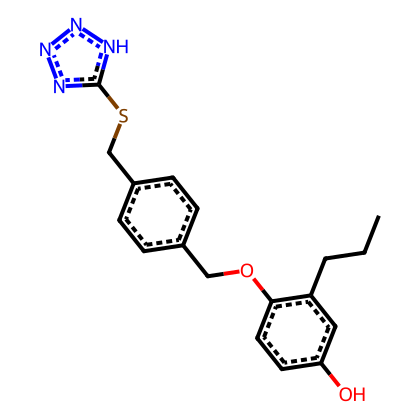 CCCc1cc(O)ccc1OCc1ccc(CSc2nnn[nH]2)cc1